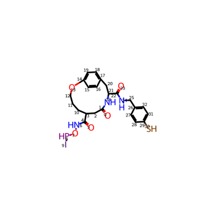 O=C1CC(C(=O)NOPI)CCCOc2ccc(cc2)CC(C(=O)NCc2ccc(S)cc2)N1